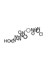 Cc1ncc(Cl)cc1C(=O)NC1CCC(Cn2c(=O)n(-c3cnc(N4CC[C@H](O)C4)cn3)c3ccccc32)CC1